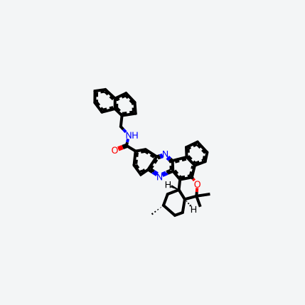 C[C@H]1CC[C@H]2[C@H](C1)c1c(c3ccccc3c3nc4cc(C(=O)NCc5cccc6ccccc56)ccc4nc13)OC2(C)C